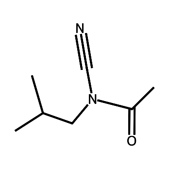 CC(=O)N(C#N)CC(C)C